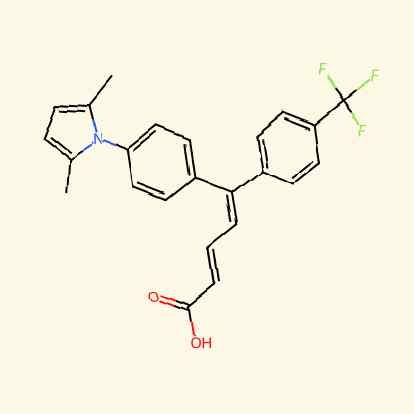 Cc1ccc(C)n1-c1ccc(/C(=C\C=C\C(=O)O)c2ccc(C(F)(F)F)cc2)cc1